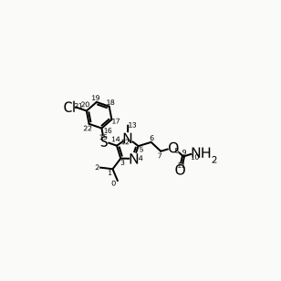 CC(C)c1nc(CCOC(N)=O)n(C)c1Sc1cccc(Cl)c1